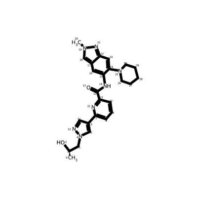 C[C@H](O)Cn1cc(-c2cccc(C(=O)Nc3cc4cn(C)nc4cc3N3CCCCC3)n2)cn1